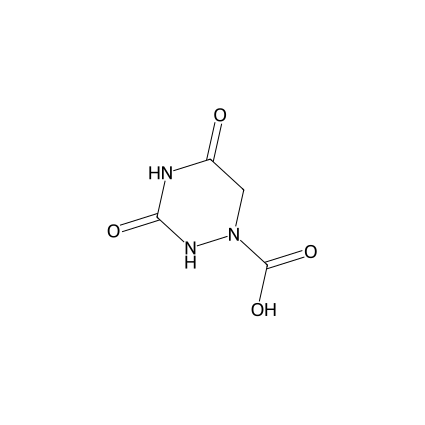 O=C1CN(C(=O)O)NC(=O)N1